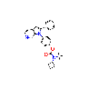 CC(C)(C)N(C(=O)Oc1ccc(-n2c(-c3ccccc3)cc3ccncc32)cc1)C1CCC1